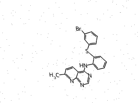 Cc1ccc2c(Nc3ccccc3Sc3cccc(Br)c3)ncnc2n1